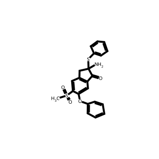 CS(=O)(=O)c1cc2c(cc1Oc1ccccc1)C(=O)C(N)(Sc1ccccc1)C2